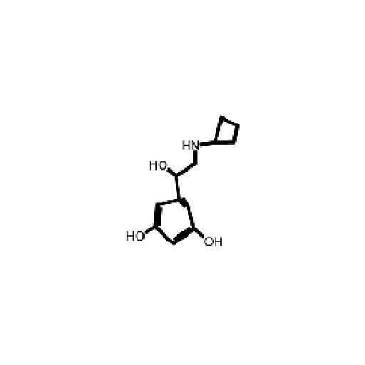 Oc1cc(O)cc(C(O)CNC2CCC2)c1